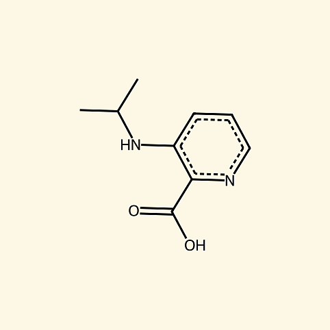 CC(C)Nc1cccnc1C(=O)O